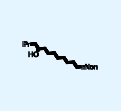 CCCCCCCCCCCCCCCCCC(O)CC(C)C